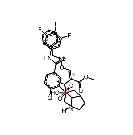 COC(=O)/C(=C/ONCc1ccccc1)C(C)C1(O)CC2CC[C@H](C1)C2S(=O)(=O)c1cc(C(=O)Nc2cc(F)c(F)c(F)c2)ccc1Cl